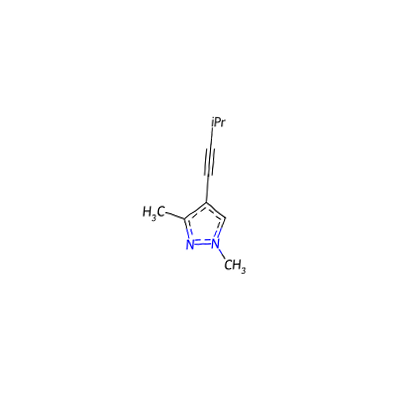 Cc1nn(C)cc1C#CC(C)C